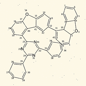 C1=CC2Oc3ccccc3C2C(c2ccc3oc4cccc(-c5nc(-c6ccccc6)nc(-c6ccccc6)n5)c4c3c2)=C1